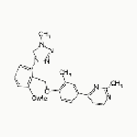 COc1cccc(N2CN(C)N=N2)c1COc1ccc(-c2ccnc(C)n2)cc1C